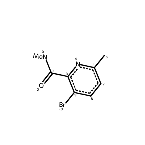 CNC(=O)c1nc(C)ccc1Br